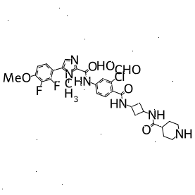 COc1ccc(-c2cnc(C(=O)Nc3ccc(C(=O)NC4CC(NC(=O)C5CCNCC5)C4)c(Cl)c3)n2C)c(F)c1F.O=CO